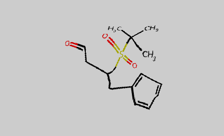 CC(C)(C)S(=O)(=O)C(CC=O)Cc1ccccc1